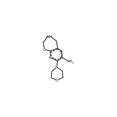 Nc1cc2c(nc1N1CCOCC1)OCCNC2